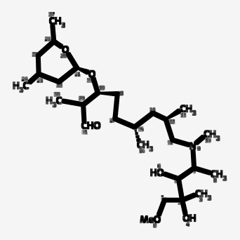 COCC(C)(O)C(O)C(C)N(C)C[C@H](C)C[C@H](C)CC[C@H](O[C@H]1CC(C)CC(C)O1)C(C)C=O